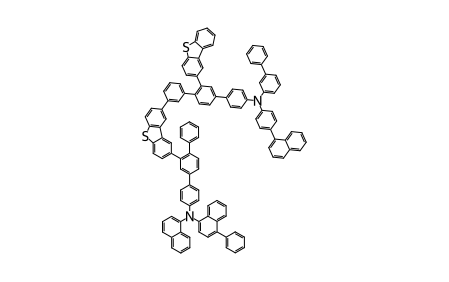 c1ccc(-c2cccc(N(c3ccc(-c4ccc(-c5cccc(-c6ccc7sc8ccc(-c9cc(-c%10ccc(N(c%11cccc%12ccccc%11%12)c%11ccc(-c%12ccccc%12)c%12ccccc%11%12)cc%10)ccc9-c9ccccc9)cc8c7c6)c5)c(-c5ccc6sc7ccccc7c6c5)c4)cc3)c3ccc(-c4cccc5ccccc45)cc3)c2)cc1